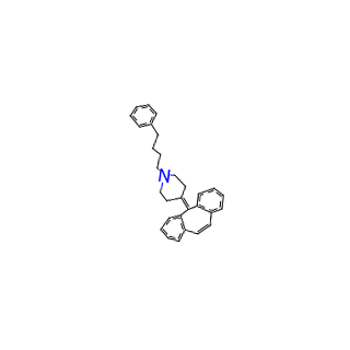 C1=Cc2ccccc2C(=C2CCN(CCCCc3ccccc3)CC2)c2ccccc21